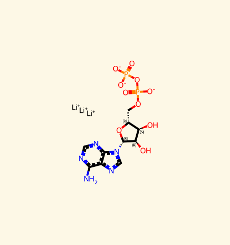 Nc1ncnc2c1ncn2[C@@H]1O[C@H](COP(=O)([O-])OP(=O)([O-])[O-])[C@@H](O)[C@H]1O.[Li+].[Li+].[Li+]